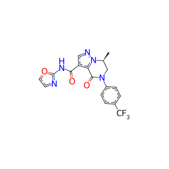 C[C@H]1CN(c2ccc(C(F)(F)F)cc2)C(=O)c2c(C(=O)Nc3ncco3)cnn21